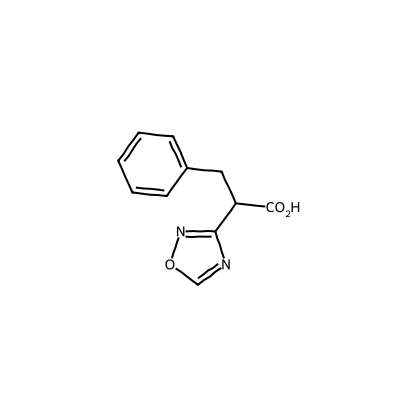 O=C(O)C(Cc1ccccc1)c1ncon1